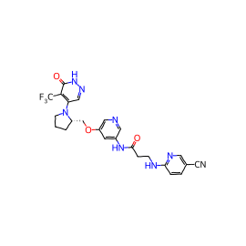 N#Cc1ccc(NCCC(=O)Nc2cncc(OC[C@@H]3CCCN3c3cn[nH]c(=O)c3C(F)(F)F)c2)nc1